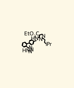 CCOC(=O)c1cnc(CCC(C)C)nc1NCc1ccc(-c2ccccc2-c2nnn[nH]2)cc1